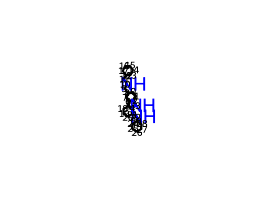 c1cc2[nH]c3c(c2cc1CNCC1CCCCC1)CCCC3NC1CCCCC1